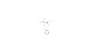 CC(C)/C(C(=O)O)=C(/CCCc1ccccc1)C(=O)O